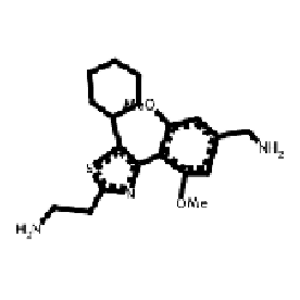 COc1cc(CN)cc(OC)c1-c1nc(CCN)sc1C1CCCCC1